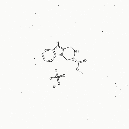 COC(=O)[C@@H]1Cc2c([nH]c3ccccc23)CN1.[K+].[O]=[Mn](=[O])(=[O])[O-]